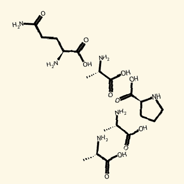 C[C@H](N)C(=O)O.C[C@H](N)C(=O)O.C[C@H](N)C(=O)O.NC(=O)CC[C@H](N)C(=O)O.O=C(O)[C@@H]1CCCN1